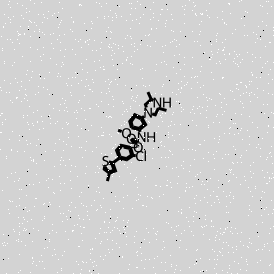 COc1ccc(N2CC(C)NC(C)C2)cc1NS(=O)(=O)c1ccc(-c2cc(C)cs2)cc1Cl